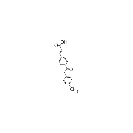 Cc1ccc(CC(=O)c2ccc(/C=C/C(=O)O)cc2)cc1